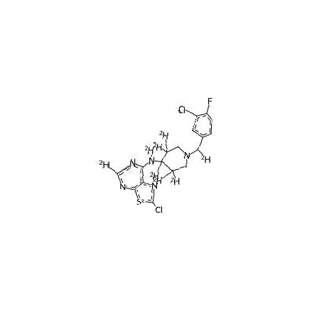 [2H]c1nc(N([2H])C2([2H])C([2H])([2H])CN(C([2H])c3ccc(F)c(Cl)c3)CC2([2H])[2H])c2nc(Cl)sc2n1